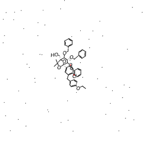 CCOc1ccc(Cc2cc([C@]34OC(C)(C)[C@](CO)(O3)[C@@H](OCc3ccccc3)[C@H](OCc3ccccc3)[C@H]4OCc3ccccc3)ccc2Cl)cc1